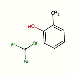 BrB(Br)Br.Cc1ccccc1O